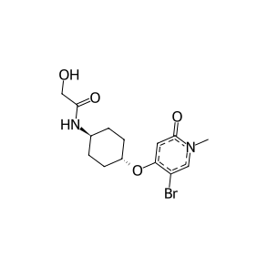 Cn1cc(Br)c(O[C@H]2CC[C@H](NC(=O)CO)CC2)cc1=O